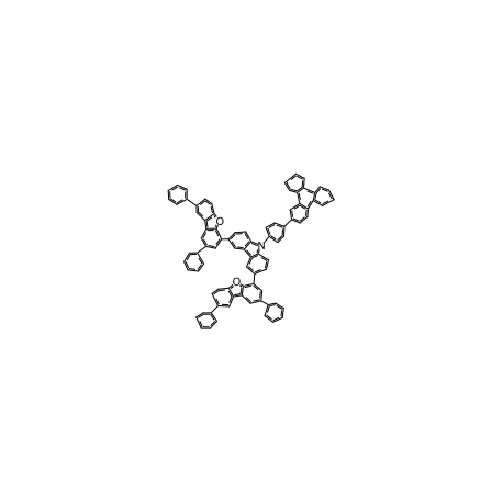 c1ccc(-c2ccc3oc4c(-c5ccc6c(c5)c5cc(-c7cc(-c8ccccc8)cc8c7oc7ccc(-c9ccccc9)cc78)ccc5n6-c5ccc(-c6ccc7c8ccccc8c8ccccc8c7c6)cc5)cc(-c5ccccc5)cc4c3c2)cc1